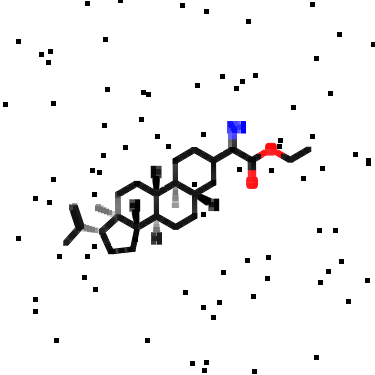 C=C(C)[C@H]1CC[C@H]2[C@@H]3CC[C@H]4CC(C(=N)C(=O)OCC)CC[C@]4(C)[C@H]3CC[C@]12C